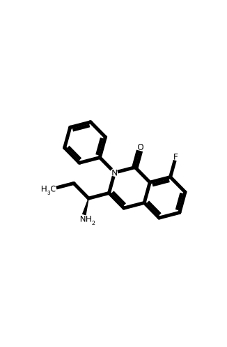 CC[C@H](N)c1cc2cccc(F)c2c(=O)n1-c1ccccc1